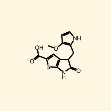 COc1cc[nH]c1CC1C(=O)Nc2sc(C(=O)O)cc21